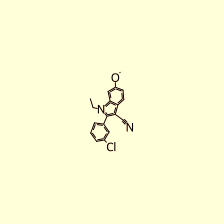 CCn1c(-c2cccc(Cl)c2)c(C#N)c2ccc(OC)cc21